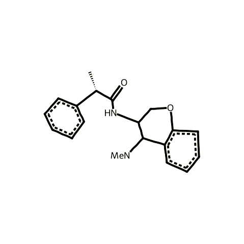 CNC1c2ccccc2OCC1NC(=O)[C@@H](C)c1ccccc1